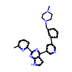 Cc1cccc(-c2nc(-c3cncc(-c4cccc(CN5CCN(C)CC5)c4)c3)c3cc[nH]c3n2)n1